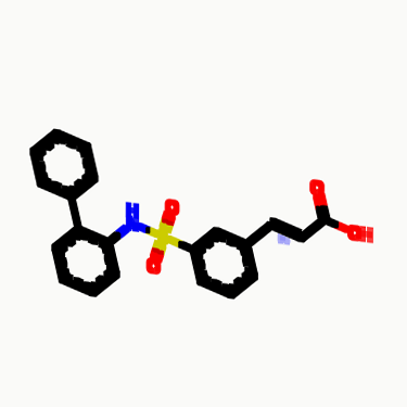 O=C(O)/C=C/c1cccc(S(=O)(=O)Nc2ccccc2-c2ccccc2)c1